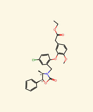 CCOC(=O)Cc1ccc(OC)c(Oc2ccc(Cl)cc2CN2C(=O)O[C@@H](c3ccccc3)[C@H]2C)c1